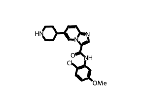 COc1ccc(Cl)c(NC(=O)c2cnc3ccc(C4CCNCC4)cn23)c1